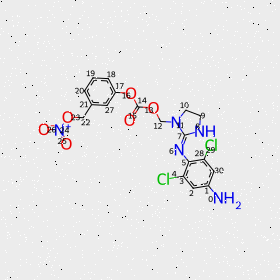 Nc1cc(Cl)c(/N=C2\NCCN2COC(=O)Oc2cccc(CO[N+](=O)[O-])c2)c(Cl)c1